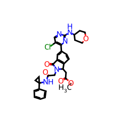 COC(=O)CC1c2ccc(-c3nc(NC4CCOCC4)ncc3Cl)cc2C(=O)N1CC(=O)NC1(c2ccccc2)CC1